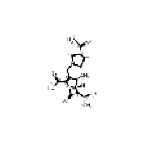 C[C@@H](O)[C@H]1C(=O)N2C(C(=O)O)=C(CN3CC[C@H](C(N)=O)C3)[C@H](C)[C@H]12